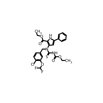 CCOC(=O)NC(=S)N(Cc1ccc(Cl)c(OC(F)F)c1)c1cc(-c2ccccc2)[nH]c1C(=O)OCC